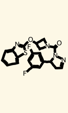 O=C(N1CC(Oc2nc3ccccc3s2)C1)N1N=CCC1c1cc(F)cc(F)c1